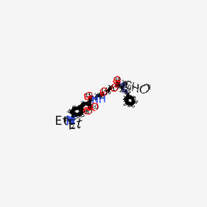 CCN(CC)c1ccc2cc(C(=O)NCCOCCOC(=O)C(/C=C/c3ccccc3)=C/C=O)c(=O)oc2c1